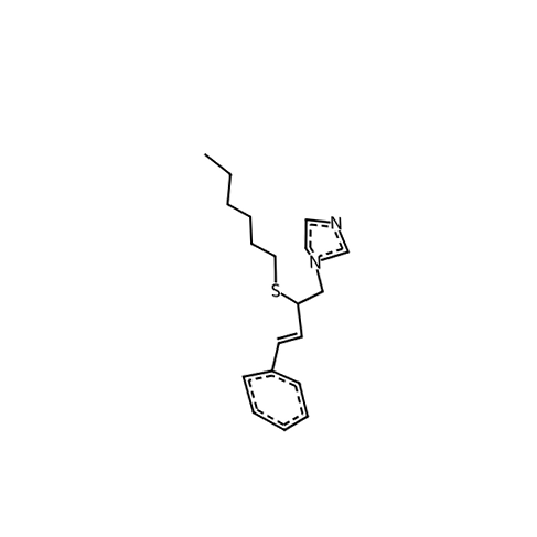 CCCCCCSC(C=Cc1ccccc1)Cn1ccnc1